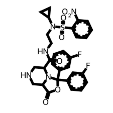 O=C(NCCN(C1CC1)S(=O)(=O)c1ccccc1[N+](=O)[O-])C1CNCC2C(=O)OC(c3cccc(F)c3)(c3cccc(F)c3)N12